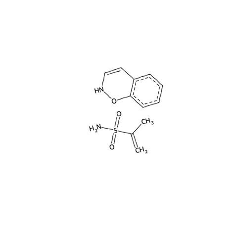 C1=Cc2ccccc2ON1.C=C(C)S(N)(=O)=O